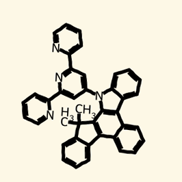 CC1(C)c2ccccc2-c2c1c1c(c3ccccc23)c2ccccc2n1-c1cc(-c2ccccn2)nc(-c2ccccn2)c1